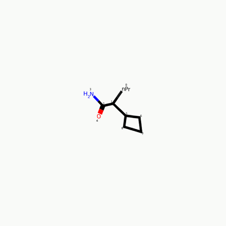 CCCC(C(N)=O)C1CCC1